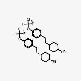 CCCC1CCC(CCc2ccc(OC(F)(F)C(F)(F)F)cc2)CC1.CC[C@H]1CC[C@H](CCc2ccc(OC(F)(F)C(F)(F)F)cc2)CC1